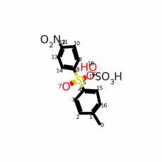 Cc1ccc(S(=O)(=O)c2ccc([N+](=O)[O-])cc2)cc1.O=S(=O)(O)O